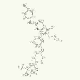 C=CCn1c(=O)c2cnc(Nc3ccc(Br)cc3)nc2n1-c1cccc(OC2CCN(C(=O)OC(C)(C)C)CC2)n1